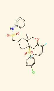 O=S(=O)(C[C@@H]1CC[C@@]2(S(=O)(=O)c3ccc(Cl)cc3)c3c(F)ccc(F)c3OC[C@H]2C1)Nc1ccccc1